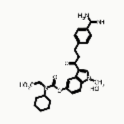 Cl.Cn1cc(C(=O)CCc2ccc(C(=N)N)cc2)c2cc(OC(=O)N(CC(=O)O)C3CCCCC3)ccc21